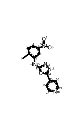 Cc1ccc([N+](=O)[O-])cc1Nc1nnc(-c2ccncc2)o1